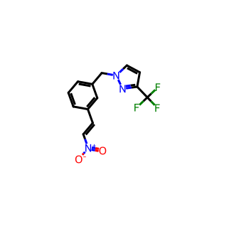 O=[N+]([O-])C=Cc1cccc(Cn2ccc(C(F)(F)F)n2)c1